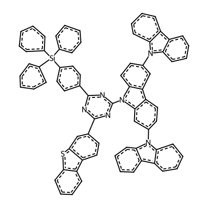 c1ccc([Si](c2ccccc2)(c2ccccc2)c2ccc(-c3nc(-c4ccc5c(c4)sc4ccccc45)nc(-n4c5ccc(-n6c7ccccc7c7ccccc76)cc5c5ccc(-n6c7ccccc7c7ccccc76)cc54)n3)cc2)cc1